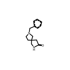 O=C1CC2(CCN(Cc3ccccc3)C2)CN1